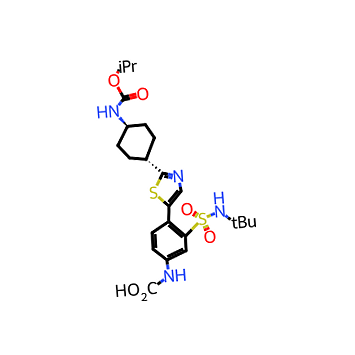 CC(C)OC(=O)N[C@H]1CC[C@H](c2ncc(-c3ccc(NC(=O)O)cc3S(=O)(=O)NC(C)(C)C)s2)CC1